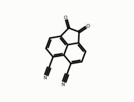 N#Cc1ccc2c3c(ccc(C#N)c13)C(=O)C2=O